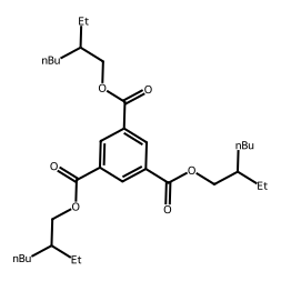 CCCCC(CC)COC(=O)c1cc(C(=O)OCC(CC)CCCC)cc(C(=O)OCC(CC)CCCC)c1